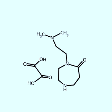 CN(C)CCN1CCNCCC1=O.O=C(O)C(=O)O